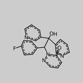 O=c1cccnn1C(c1ccc(F)cc1)C(O)(c1cccnc1)c1cccnc1